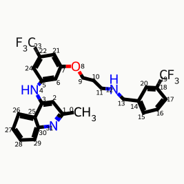 Cc1cc(Nc2cc(OCCCNCc3cccc(C(F)(F)F)c3)cc(C(F)(F)F)c2)c2ccccc2n1